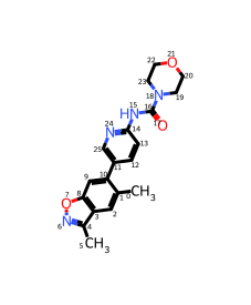 Cc1cc2c(C)noc2cc1-c1ccc(NC(=O)N2CCOCC2)nc1